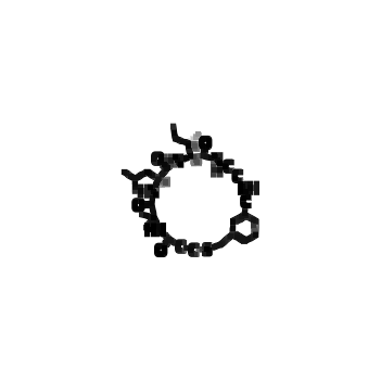 CC[C@H](C)[C@@H]1NC(=O)[C@H](CC(C)C)NC(=O)C(C)(C)NC(=O)CCSCc2cccc(c2)CNCCNC1=O